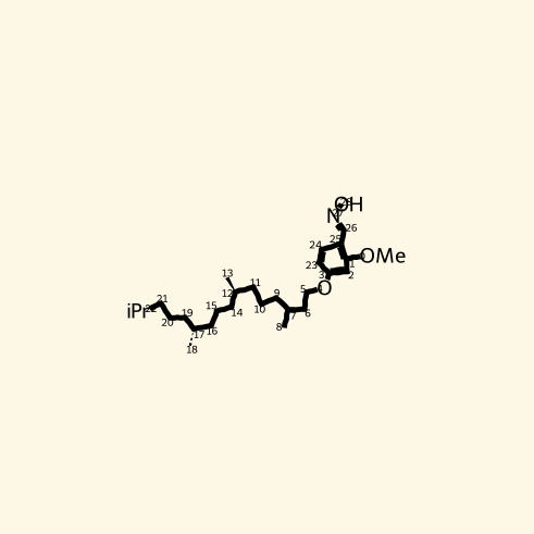 COc1cc(OCCC(C)CCC[C@H](C)CCC[C@H](C)CCCC(C)C)ccc1C=NO